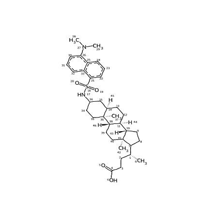 C[C@H](CCC(=O)O)C1CC[C@H]2[C@@H]3CC[C@@H]4CC(NS(=O)(=O)c5cccc6c(N(C)C)cccc56)CC[C@]4(C)[C@H]3CC[C@]12C